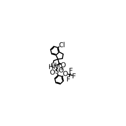 CCC1(C(=O)NS(=O)(=O)c2ccccc2OC(F)(F)F)CCc2c(Cl)cccc21